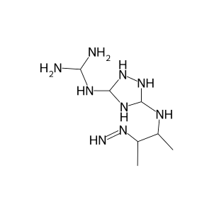 CC(N=N)C(C)NC1NNC(NC(N)N)N1